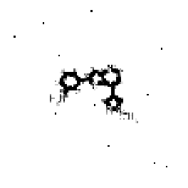 Cn1cc(-c2ccnc3cc(-c4cccc(N)c4)oc23)cn1